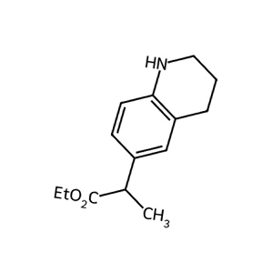 CCOC(=O)C(C)c1ccc2c(c1)CCCN2